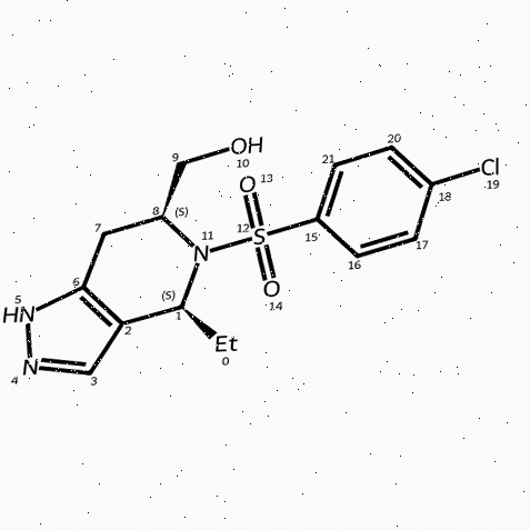 CC[C@H]1c2cn[nH]c2C[C@@H](CO)N1S(=O)(=O)c1ccc(Cl)cc1